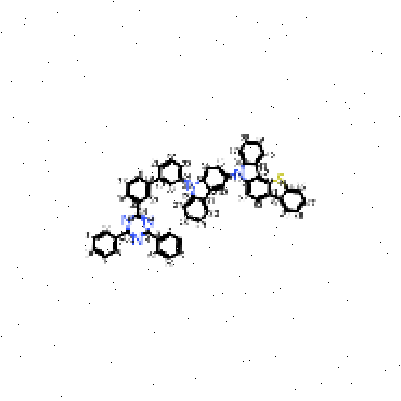 c1ccc(-c2nc(-c3ccccc3)nc(-c3cccc(-c4cccc(-n5c6ccccc6c6cc(-n7c8ccccc8c8c9sc%10ccccc%10c9ccc87)ccc65)c4)c3)n2)cc1